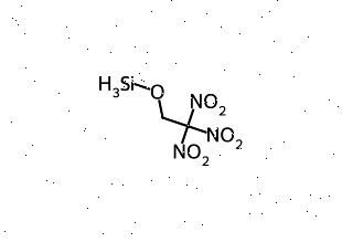 O=[N+]([O-])C(CO[SiH3])([N+](=O)[O-])[N+](=O)[O-]